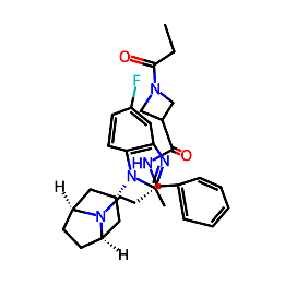 CCC(=O)N1CC(C(=O)N[C@@H](CCN2[C@@H]3CC[C@H]2C[C@H](n2c(C)nc4cc(F)ccc42)C3)c2ccccc2)C1